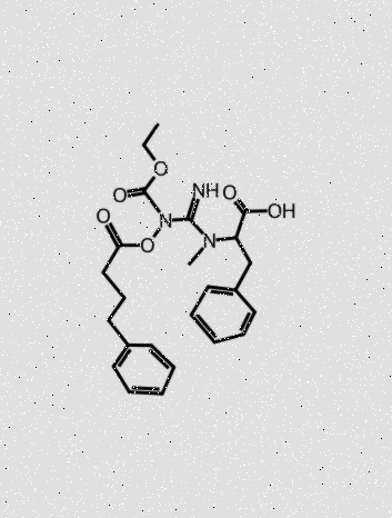 CCOC(=O)N(OC(=O)CCCc1ccccc1)C(=N)N(C)C(Cc1ccccc1)C(=O)O